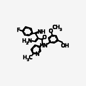 COc1cc(CO)cc(NC(C(=O)/C(=C/N)C(=N)c2ccc(F)cc2)c2ccc(C)nc2)c1